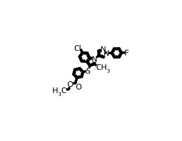 CCOC(=O)c1cccc(Sc2c(C)n(-c3cnn(-c4ccc(F)cc4)c3)c3cc(Cl)ccc23)c1